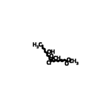 CCCCCC(O)CCCC(Cl)(CCCCCCC(=O)OC)C(C)=O